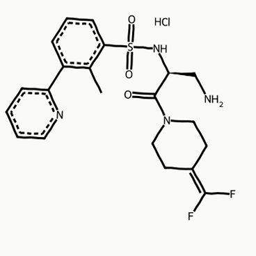 Cc1c(-c2ccccn2)cccc1S(=O)(=O)N[C@@H](CN)C(=O)N1CCC(=C(F)F)CC1.Cl